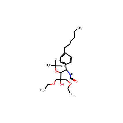 CCCCCCc1ccc(C(NC=O)C(OC(C)(C)C)C(O)(COCC)COCC)cc1